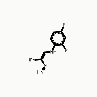 CC(C)/C(=C/Nc1ccc(F)cc1F)N=N